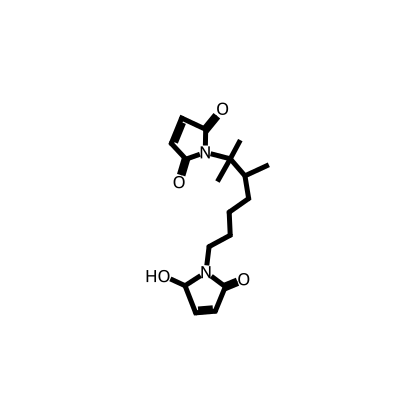 CC(CCCCN1C(=O)C=CC1O)C(C)(C)N1C(=O)C=CC1=O